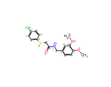 COc1ccc(CNC(=O)CSc2ccc(Cl)cc2)cc1OC